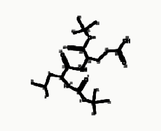 CC(C)C[C@H](NC(=O)OC(C)(C)C)C(=O)NC(CCC(=O)O)C(=O)OC(C)(C)C